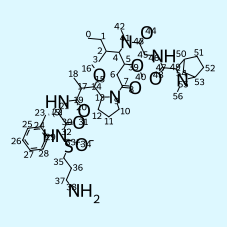 CCC(C)C(C(CC(=O)N1CCCC1C(OC)C(C)C(=O)N[C@@H](Cc1ccccc1)C(=O)N[S+]([O-])CCCN)OC)N(C)C(=O)CNC(=O)C1C2CCC(C2)N1C